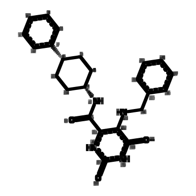 O=C(N[C@H]1CC[C@@H](c2ccccc2)CC1)c1[nH]c(=O)[nH]c(=O)c1NCc1ccccc1